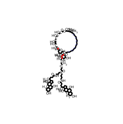 CC1OC(O[C@H]2/C=C/C=C/C=C/C=C/C=C/C=C/C=C/[C@H](C)[C@@H](O)[C@@H](C)[C@H](C)OC(=O)C[C@H](O)C[C@H](O)CC[C@@H](O)[C@H](O)C[C@H](O)C[C@]3(O)C[C@H](O)[C@@H](C(=O)NCCOCCOCCC(=O)N(CCCCNC(=O)CC[C@@H](C)C4CCC5C6C(O)CC7CC(O)CCC7(C)C6CC(O)C54C)CCCNC(=O)CC[C@@H](C)C4CCC5C6C(O)CC7CC(O)CCC7(C)C6CC(O)C54C)[C@H](C2)O3)C(O)C(N)C1O